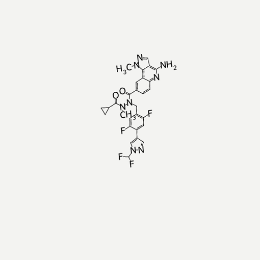 CN(C(=O)C1CC1)N(Cc1cc(F)c(-c2cnn(C(F)F)c2)cc1F)C(=O)c1ccc2nc(N)c3cnn(C)c3c2c1